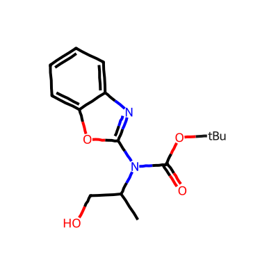 CC(CO)N(C(=O)OC(C)(C)C)c1nc2ccccc2o1